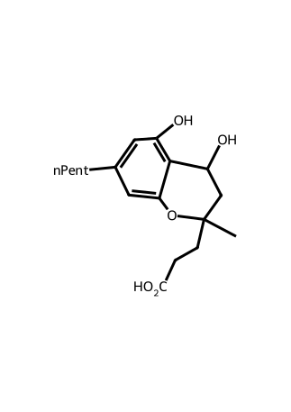 CCCCCc1cc(O)c2c(c1)OC(C)(CCC(=O)O)CC2O